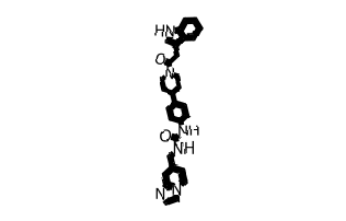 O=C(NCc1ccn2ccnc2c1)Nc1ccc(C2CCN(C(=O)Cc3c[nH]c4ccccc34)CC2)cc1